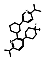 CC(C)c1ccc(C2CCCC(c3nc(C(C)C)ccc3C3CCC(F)(F)CC3)C2)cn1